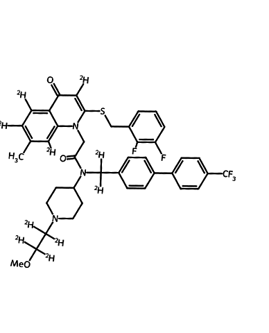 [2H]c1c(C)c([2H])c2c(c1[2H])c(=O)c([2H])c(SCc1cccc(F)c1F)n2CC(=O)N(C1CCN(C([2H])([2H])C([2H])([2H])OC)CC1)C([2H])([2H])c1ccc(-c2ccc(C(F)(F)F)cc2)cc1